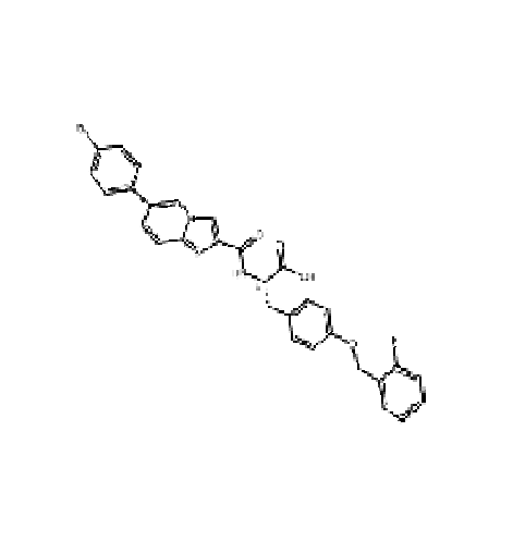 O=C(N[C@@H](Cc1ccc(OCc2ccccc2F)cc1)C(=O)O)c1cn2cc(-c3ccc(Cl)cc3)ccc2n1